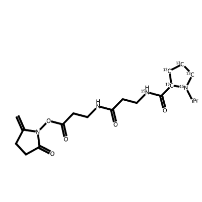 C=C1CCC(=O)N1OC(=O)CCNC(=O)CC[15NH]C(=O)[13CH]1[13CH2][13CH2][13CH2][15N]1[13CH]([13CH3])[13CH3]